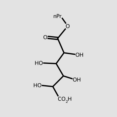 CCCOC(=O)C(O)C(O)C(O)C(O)C(=O)O